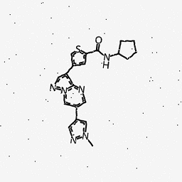 Cn1cc(-c2cnc3c(-c4csc(C(=O)NC5CCCC5)c4)cnn3c2)cn1